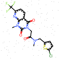 CN(Cc1ccc(Cl)s1)C(=O)Cn1c(=O)c2ccc(C(F)(F)F)nc2n(C)c1=O